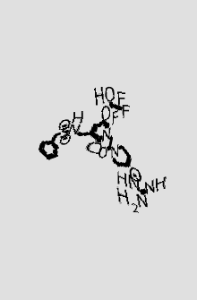 N=C(N)NOC1CCN(C(=O)Cn2cccc(CNS(=O)(=O)Cc3ccccc3)c2=O)CC1.O=C(O)C(F)(F)F